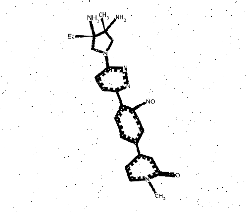 CC[C@]1(N)CN(c2ccc(-c3ccc(-c4ccn(C)c(=O)c4)cc3N=O)nn2)C[C@@]1(C)N